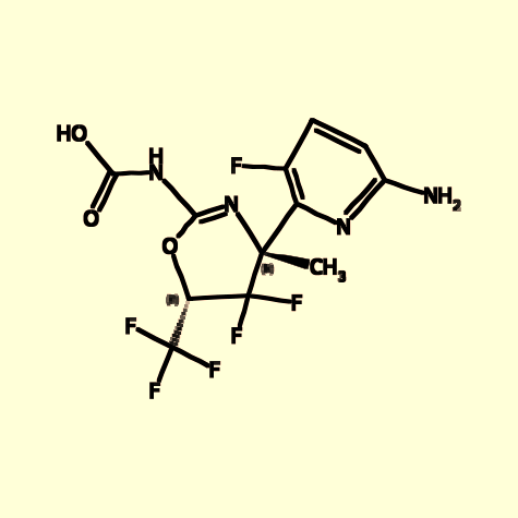 C[C@]1(c2nc(N)ccc2F)N=C(NC(=O)O)O[C@@H](C(F)(F)F)C1(F)F